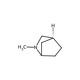 CN1C[C@H]2CC[C]1C2